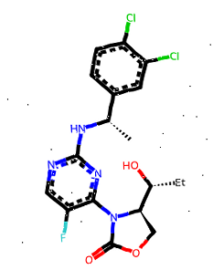 CC[C@@H](O)[C@H]1COC(=O)N1c1nc(N[C@@H](C)c2ccc(Cl)c(Cl)c2)ncc1F